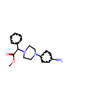 COC(=O)C(c1ccccc1)N1CCN(c2ccc(N)cc2)CC1